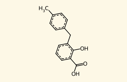 Cc1ccc(Cc2cccc(C(=O)O)c2O)cc1